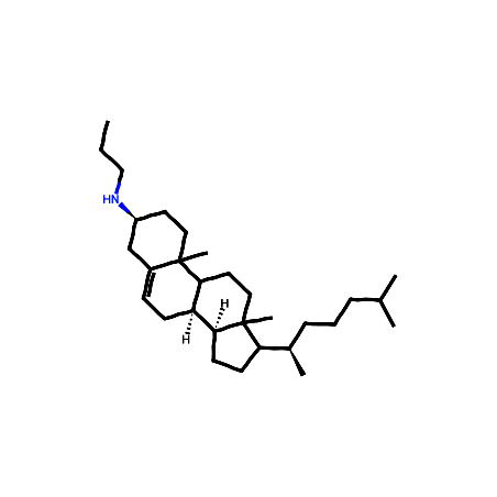 CCCN[C@H]1CCC2(C)C(=CC[C@H]3C2CCC2(C)C([C@H](C)CCCC(C)C)CC[C@@H]32)C1